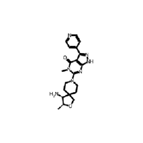 C[C@@H]1OCC2(CCN(c3nc4[nH]nc(-c5ccncc5)c4c(=O)n3C)CC2)[C@@H]1N